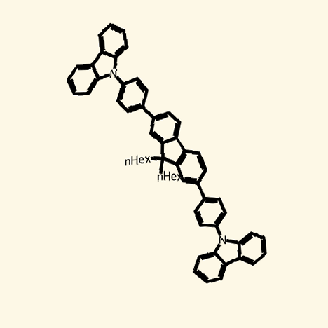 CCCCCCC1(CCCCCC)c2cc(-c3ccc(-n4c5ccccc5c5ccccc54)cc3)ccc2-c2ccc(-c3ccc(-n4c5ccccc5c5ccccc54)cc3)cc21